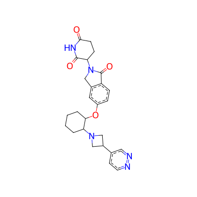 O=C1CCC(N2Cc3cc(OC4CCCCC4N4CC(c5ccnnc5)C4)ccc3C2=O)C(=O)N1